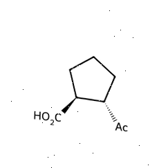 CC(=O)[C@H]1CCC[C@@H]1C(=O)O